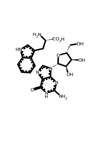 N[C@@H](Cc1c[nH]c2ccccc12)C(=O)O.Nc1nc2c(ncn2[C@@H]2O[C@H](CO)[C@@H](O)[C@H]2O)c(=O)[nH]1